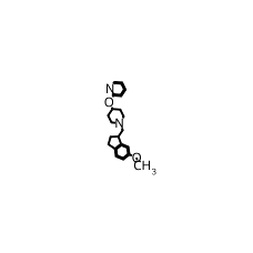 COc1ccc2c(c1)C(CN1CCC(Oc3ccccn3)CC1)CC2